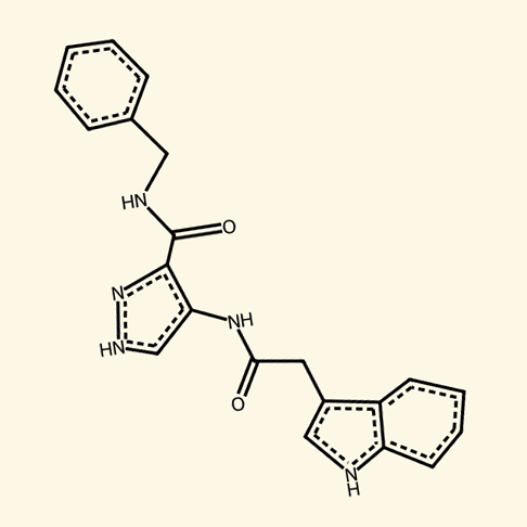 O=C(Cc1c[nH]c2ccccc12)Nc1c[nH]nc1C(=O)NCc1ccccc1